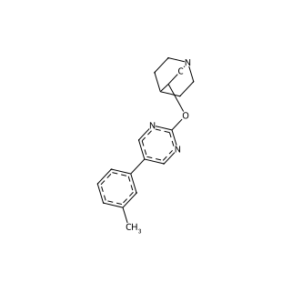 Cc1cccc(-c2cnc(OC3CN4CCC3CC4)nc2)c1